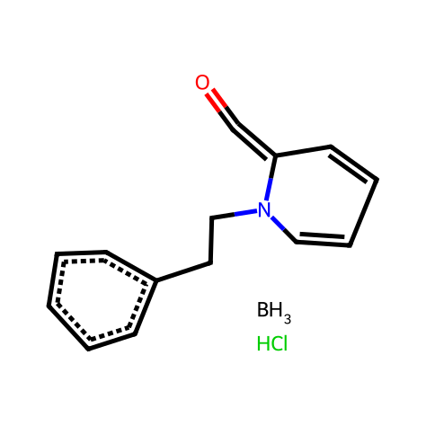 B.Cl.O=C=C1C=CC=CN1CCc1ccccc1